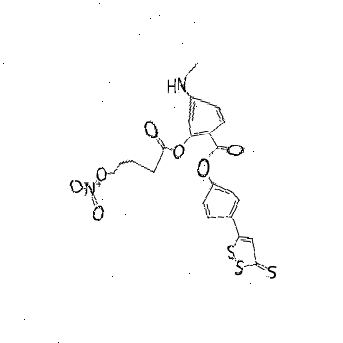 CNc1ccc(C(=O)Oc2ccc(-c3cc(=S)ss3)cc2)c(OC(=O)CCCO[N+](=O)[O-])c1